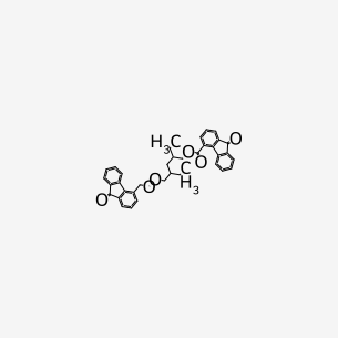 CCC(COOCc1cccc2c1-c1ccccc1C2=O)CC(CC)COC(=O)c1cccc2c1-c1ccccc1C2=O